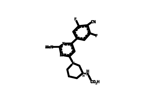 CNc1nc(-c2cc(F)c(C#N)c(F)c2)cc(N2CCC[C@@H](NC(=O)O)C2)n1